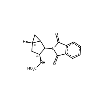 O=C(O)N[C@H]1C[C@@H]2CC2C1N1C(=O)c2ccccc2C1=O